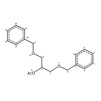 CC(=O)OC(COCc1ccccc1)COCc1ccccc1